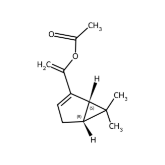 C=C(OC(C)=O)C1=CC[C@@H]2[C@H]1C2(C)C